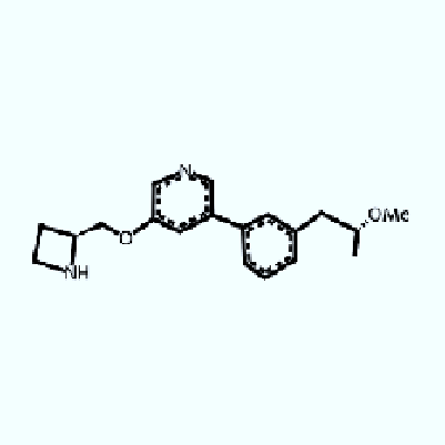 CO[C@H](C)Cc1cccc(-c2cncc(OC[C@@H]3CCN3)c2)c1